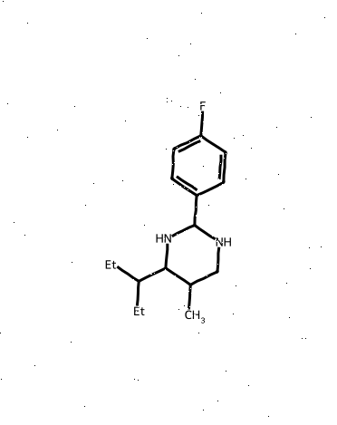 CCC(CC)C1NC(c2ccc(F)cc2)NCC1C